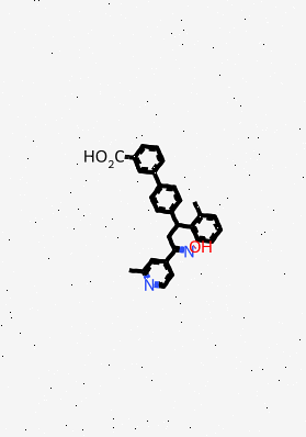 Cc1cc(/C(CC(c2ccc(-c3cccc(C(=O)O)c3)cc2)c2ccccc2C)=N/O)ccn1